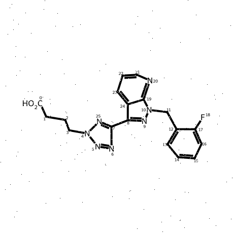 O=C(O)CCCn1nnc(-c2nn(Cc3ccccc3F)c3ncccc23)n1